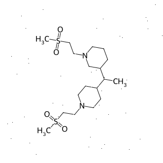 C[C](C1CCN(CCS(C)(=O)=O)CC1)C1CCCN(CCS(C)(=O)=O)C1